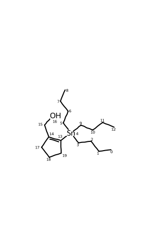 CCC[CH2][Sn]([CH2]CCC)([CH2]CCC)[C]1=C(CO)CCC1